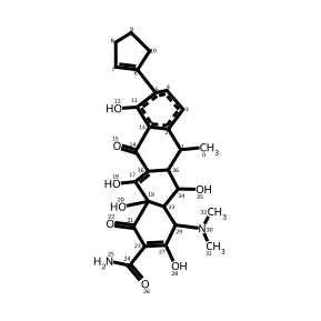 CC1c2ccc(C3=CCCC3)c(O)c2C(=O)C2=C(O)C3(O)C(=O)C(C(N)=O)=C(O)C(N(C)C)C3C(O)C21